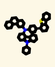 c1ccc(-n2c3ccccc3c3c(N(c4ccc(-c5cccc6c5sc5ccccc56)cc4)c4ccc5ccc6ccccc6c5c4)cccc32)cc1